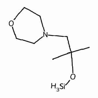 CC(C)(CN1CCOCC1)O[SiH3]